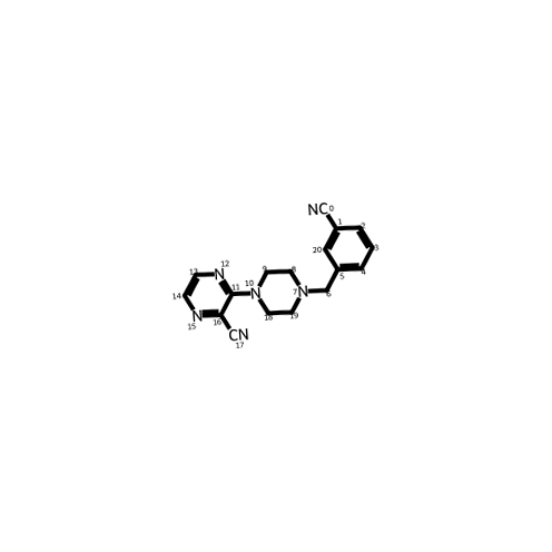 N#Cc1cccc(CN2CCN(c3nccnc3C#N)CC2)c1